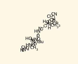 Cc1nccn1-c1ccc([C@H](C)NC(=O)[C@@H]2C[C@@H](O)CN2C(=O)[C@@H](NC(=O)COCCNc2ccc(-c3ccc(C(=O)N[C@H]4C(C)(C)[C@H](Oc5ccc(C#N)c(Cl)c5)C4(C)C)cc3)cn2)C(C)(C)C)cc1